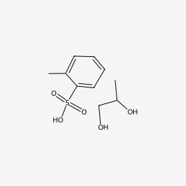 CC(O)CO.Cc1ccccc1S(=O)(=O)O